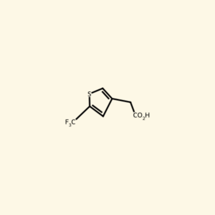 O=C(O)Cc1csc(C(F)(F)F)c1